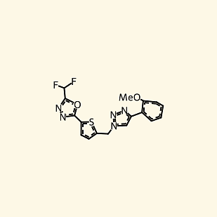 COc1ccccc1-c1cn(Cc2ccc(-c3nnc(C(F)F)o3)s2)nn1